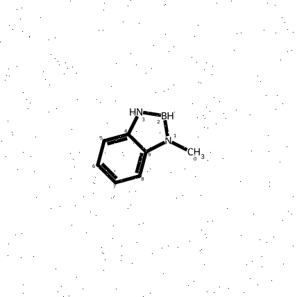 CN1BNc2ccccc21